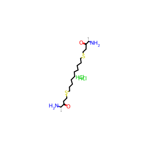 C[C@H](N)C(=O)CCSCCCCCCCCCCSCCC(=O)[C@H](C)N.Cl.Cl